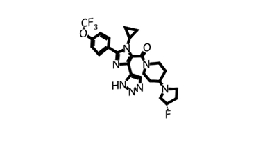 O=C(c1c(-c2cnn[nH]2)nc(-c2ccc(OC(F)(F)F)cc2)n1C1CC1)N1CCC(N2CC[C@H](F)C2)CC1